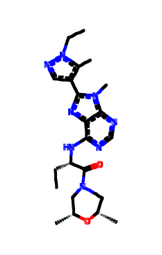 CC[C@H](Nc1ncnc2c1nc(-c1cnn(CC)c1C)n2C)C(=O)N1C[C@@H](C)O[C@@H](C)C1